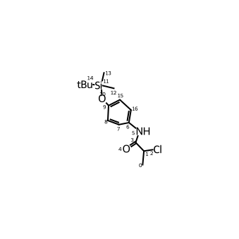 CC(Cl)C(=O)Nc1ccc(O[Si](C)(C)C(C)(C)C)cc1